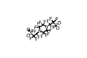 O=S(=O)(F)C(F)(F)C(F)(F)N1C(F)(F)C(F)(F)N(C(F)(F)C(F)(F)S(=O)(=O)F)C(F)(F)C1(F)F